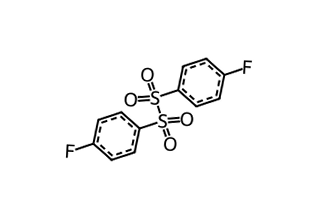 O=S(=O)(c1ccc(F)cc1)S(=O)(=O)c1ccc(F)cc1